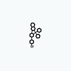 Brc1ccc(-c2ccc3c(c2)C(c2ccccc2)(c2ccccc2)c2cc4ccccc4cc2-3)cc1